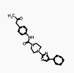 CC(=O)Cc1ccc(NC(=O)N2CCN(c3nc(-c4ccccc4)cs3)CC2)cc1